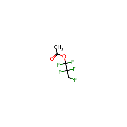 CC(=O)OC(F)(F)C(F)(F)CF